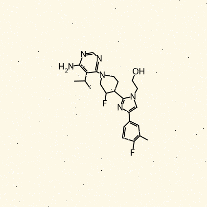 Cc1cc(-c2cn(CCO)c(C3CCN(c4ncnc(N)c4C(C)C)CC3F)n2)ccc1F